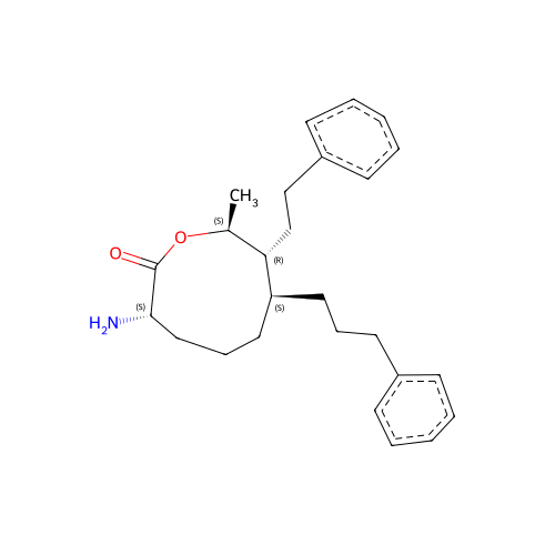 C[C@@H]1OC(=O)[C@@H](N)CCC[C@H](CCCc2ccccc2)[C@H]1CCc1ccccc1